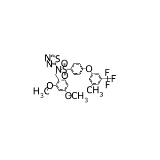 COc1ccc(CN(c2nncs2)S(=O)(=O)c2ccc(Oc3cc(C)cc(C(F)(F)F)c3)cc2)c(OC)c1